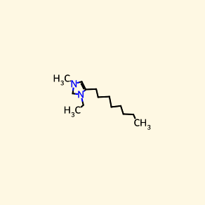 CCCCCCCCC1=CN(C)CN1CC